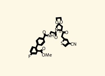 COC(=O)c1cc(F)ccc1-c1ccc(C(=O)NCC(=O)N2CC3(C[C@H]2C(=O)Cc2cc(C#N)cs2)OCCO3)cc1